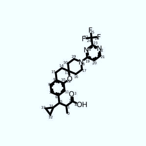 CC(C(=O)O)C(c1ccc2c(c1)OC1(CC2)CCN(c2ccnc(C(F)(F)F)n2)CC1)C1CC1